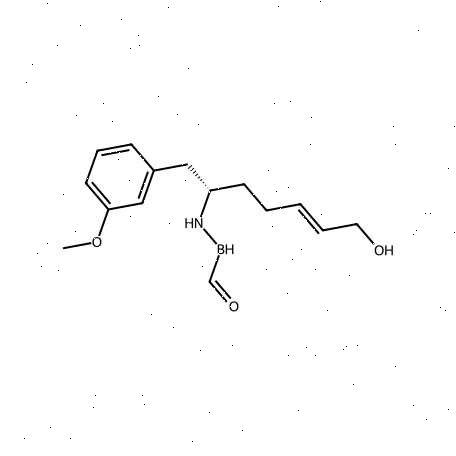 COc1cccc(C[C@H](CC/C=C/CO)NBC=O)c1